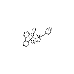 C[N+]1(CCc2ccncc2)CCCC1C(OC=O)C1(O)c2ccccc2-c2ccccc21